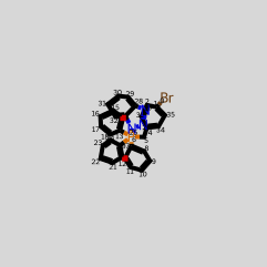 Brc1ccc(CP(c2ccccc2)(c2ccccc2)(c2ccccc2)n2nnc3ccccc32)cc1